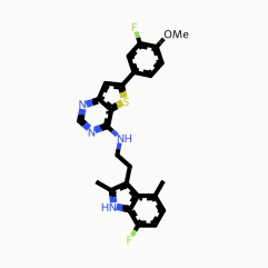 COc1ccc(-c2cc3ncnc(NCCc4c(C)[nH]c5c(F)ccc(C)c45)c3s2)cc1F